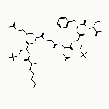 CC(C)(C)SC[C@H](NC(=O)[C@H](CC(=O)O)NC(=O)CNC(=O)[C@H](CCCNC(=N)N)NC(=O)[C@H](CSC(C)(C)C)NC(=O)[C@@H](N)CCCCN)C(=O)N[C@@H](Cc1ccccc1)C(=O)N[C@@H](CS)C(=O)O